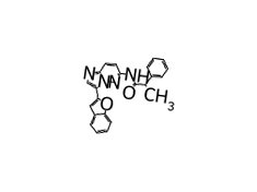 CC(C(=O)Nc1ccc2ncc(-c3cc4ccccc4o3)n2n1)c1ccccc1